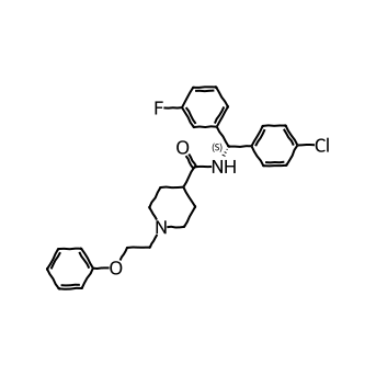 O=C(N[C@@H](c1ccc(Cl)cc1)c1cccc(F)c1)C1CCN(CCOc2ccccc2)CC1